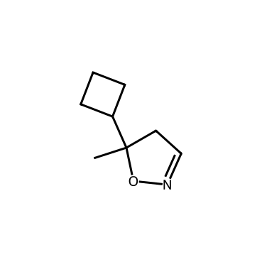 CC1(C2CCC2)CC=NO1